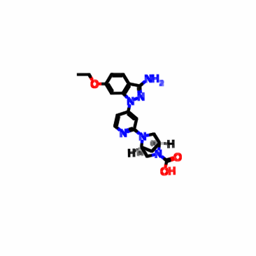 CCOc1ccc2c(N)nn(-c3ccnc(N4C[C@@H]5C[C@H]4CN5C(=O)O)c3)c2c1